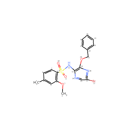 COc1cc(C)ccc1S(=O)(=O)Nc1ncc(Br)nc1OCc1ccccc1